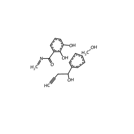 C#CCC(O)c1ccccc1.C=NC(=O)c1cccc(O)c1O.CO